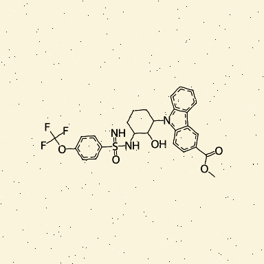 COC(=O)c1ccc2c(c1)c1ccccc1n2C1CCCC(NS(=N)(=O)c2ccc(OC(F)(F)F)cc2)C1O